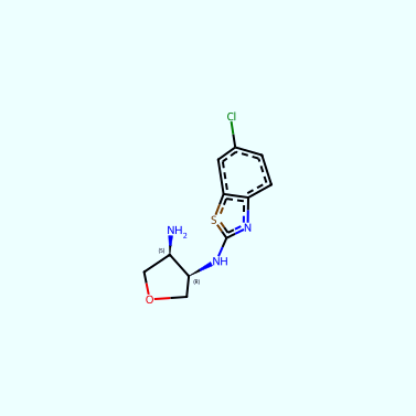 N[C@@H]1COC[C@@H]1Nc1nc2ccc(Cl)cc2s1